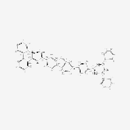 c1ccc(-c2nc(-c3ccccc3)nc(-c3ccc(-c4ccc5c(c4)sc4cc(-c6ccc7c8ccccc8c8ccccc8c7c6)ccc45)cc3)n2)cc1